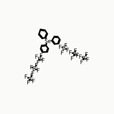 F[B-](F)(F)F.F[B-](F)(F)F.F[B-](F)(F)F.F[B-](F)(F)F.F[B-](F)(F)F.F[B-](F)(F)F.c1ccc([Se+](c2ccccc2)c2ccccc2)cc1